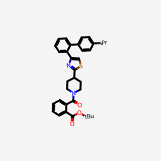 CC(C)c1ccc(-c2ccccc2-c2csc(C3CCN(C(=O)c4ccccc4C(=O)OC(C)(C)C)CC3)n2)cc1